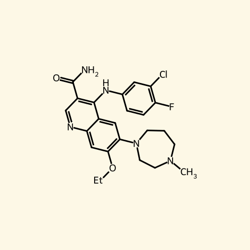 CCOc1cc2ncc(C(N)=O)c(Nc3ccc(F)c(Cl)c3)c2cc1N1CCCN(C)CC1